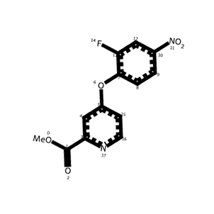 COC(=O)c1cc(Oc2ccc([N+](=O)[O-])cc2F)ccn1